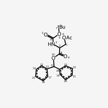 [CH2]C(=O)OCC(NC(=O)OC(C)(C)C)C(=O)OC(c1ccccc1)c1ccccc1